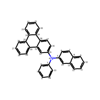 c1ccc(N(c2ccc3ccccc3c2)c2ccc3c4ccccc4c4ccccc4c3c2)cc1